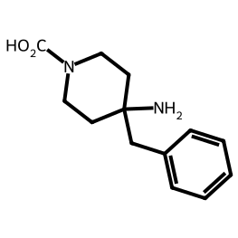 NC1(Cc2ccccc2)CCN(C(=O)O)CC1